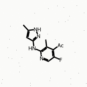 CC(=O)c1c(F)cnc(Nc2cc(C)[nH]n2)c1C